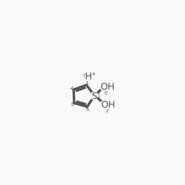 OS1(O)C=CC=C1.[H+]